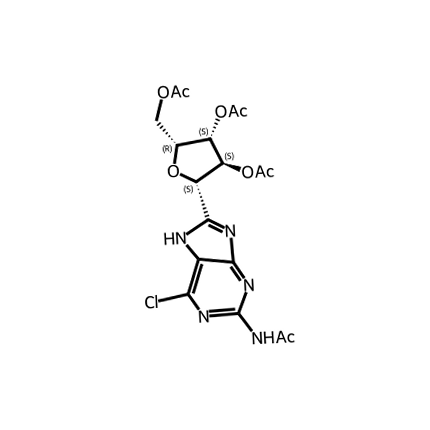 CC(=O)Nc1nc(Cl)c2[nH]c([C@@H]3O[C@H](COC(C)=O)[C@H](OC(C)=O)[C@H]3OC(C)=O)nc2n1